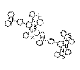 CC1(C)C2=CCCC3=C2N(c2ccccc21)c1cc(-c2ccc(-n4c5ccccc5c5ccccc54)cc2)cc2c1B3C1=C3C(=CC4(C=Cc5c4c4c#cccc4n5-c4ccc(-c5cc6c7c(c5)N5c8ccccc8Sc8cccc(c85)B7c5cccc7c5N6c5ccccc5S7)cc4)C1)C(C)(C)c1ccccc1N32